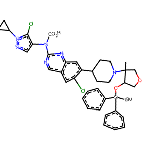 CC1(N2CCC(c3cc4nc(N(C(=O)O)c5cnn(C6CC6)c5Cl)ncc4cc3Cl)CC2)COCC1O[Si](c1ccccc1)(c1ccccc1)C(C)(C)C